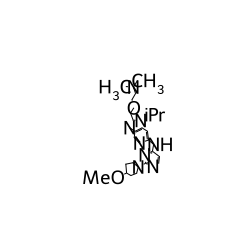 COC1CCN(c2nccc(Nc3cc4c(cn3)nc(COCCN(C)C)n4C(C)C)n2)CC1